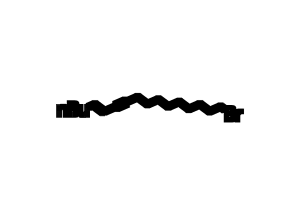 CCCCC=CC#CCCCCCCCCCBr